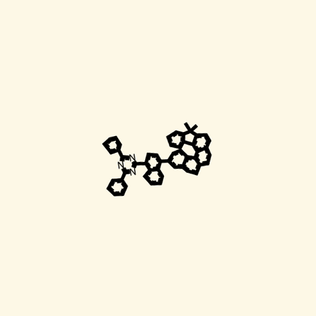 CC1(C)c2ccccc2-c2c1ccc1ccc3ccc4cc(-c5ccc(-c6nc(-c7ccccc7)nc(-c7ccccc7)n6)c6ccccc56)ccc4c3c21